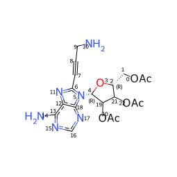 CC(=O)OC[C@H]1O[C@@H](n2c(C#CCN)nc3c(N)ncnc32)C(OC(C)=O)C1OC(C)=O